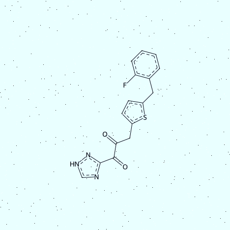 O=C(Cc1ccc(Cc2ccccc2F)s1)C(=O)c1nc[nH]n1